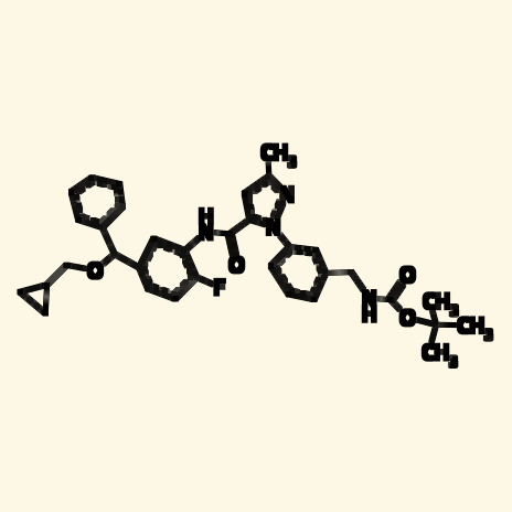 Cc1cc(C(=O)Nc2cc(C(OCC3CC3)c3ccccc3)ccc2F)n(-c2cccc(CNC(=O)OC(C)(C)C)c2)n1